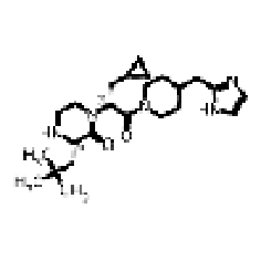 CC(C)(C)C[C@@H]1NCCN([C@@H](CC2CC2)C(=O)N2CCC(Cc3ncc[nH]3)CC2)C1=O